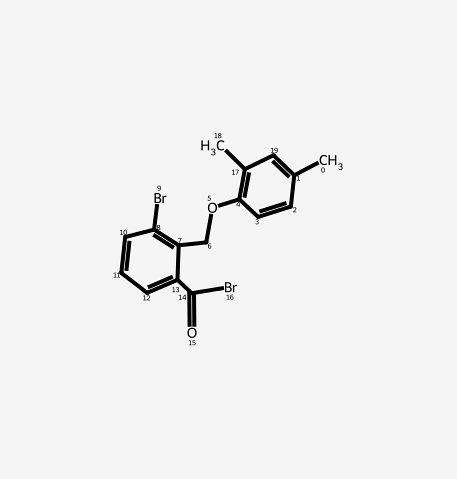 Cc1ccc(OCc2c(Br)cccc2C(=O)Br)c(C)c1